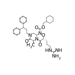 C[C@H]1C(=O)N(CCC(c2ccccc2)c2ccccc2)CC2N(C(=O)OCC3CCCCC3)O[C@H](CCCNC(=N)N)C(=O)N21